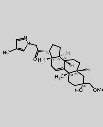 COC[C@@]1(O)CC[C@]2(C)C3=CC[C@]4(C)[C@@H](C(=O)Cn5cc(C#N)cn5)CC[C@H]4[C@@H]3CC[C@@H]2C1